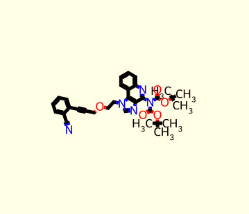 CC(C)(C)OC(=O)N(C(=O)OC(C)(C)C)c1nc2ccccc2c2c1ncn2CCOCC#Cc1ccccc1C#N